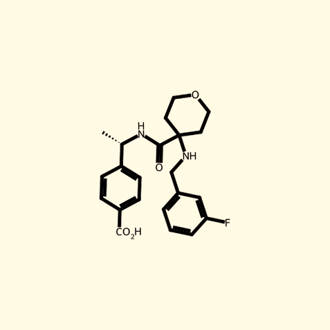 C[C@H](NC(=O)C1(NCc2cccc(F)c2)CCOCC1)c1ccc(C(=O)O)cc1